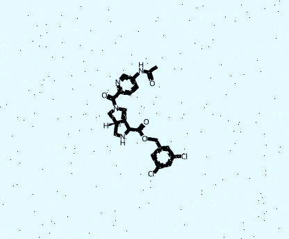 CC(=O)Nc1ccc(C(=O)N2C=C3C(C(=O)OCc4cc(Cl)cc(Cl)c4)NC[C@@H]3C2)nc1